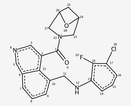 O=C(c1cncc2cccc(CNc3cccc(Cl)c3F)c12)N1CC2CC(C1)O2